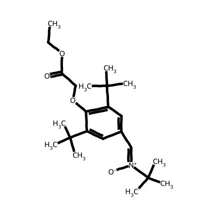 CCOC(=O)COc1c(C(C)(C)C)cc(C=[N+]([O-])C(C)(C)C)cc1C(C)(C)C